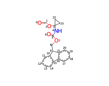 O=COC1(NC(=O)OCC2c3ccccc3-c3ccccc32)CC1